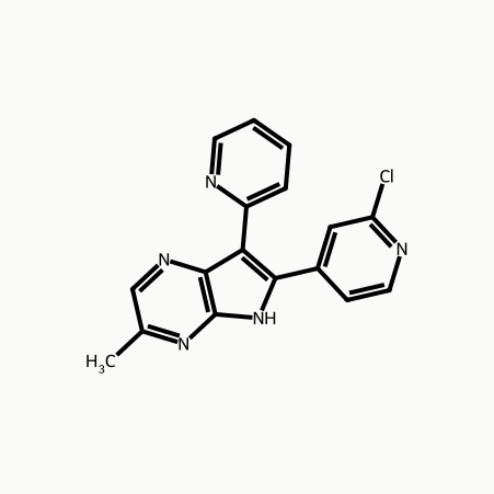 Cc1cnc2c(-c3ccccn3)c(-c3ccnc(Cl)c3)[nH]c2n1